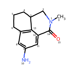 CN1CC2CCCc3cc(N)cc(c32)C1=O